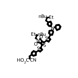 CCCCC(CC)Cc1ccc(N(c2ccccc2)c2ccc(-c3ccc(-c4sc(-c5ccc(-c6ccc(/C=C(\C#N)C(=O)O)cc6)s5)c5c4C(=O)N(CC(CC)CCCC)C5=O)s3)cc2)cc1